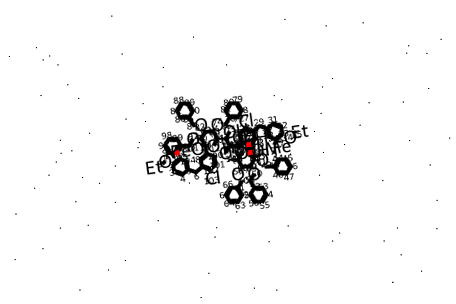 CCOc1ccc(Cc2cc([C@]3(OC)O[C@H](C(O)C(OC[C@H]4O[C@@](OC)(c5ccc(Cl)c(Cc6ccc(OCC)c(F)c6)c5)[C@H](OCc5ccccc5)[C@@H](OCc5ccccc5)[C@@H]4OCc4ccccc4)C(C)(C)[SiH](C)C)[C@@H](OCc4ccccc4)[C@H](OCc4ccccc4)[C@H]3OCc3ccccc3)ccc2Cl)cc1F